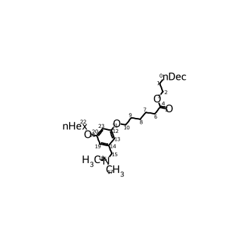 CCCCCCCCCCCCOC(=O)CCCCCOc1cc(CN(C)C)cc(OCCCCCC)c1